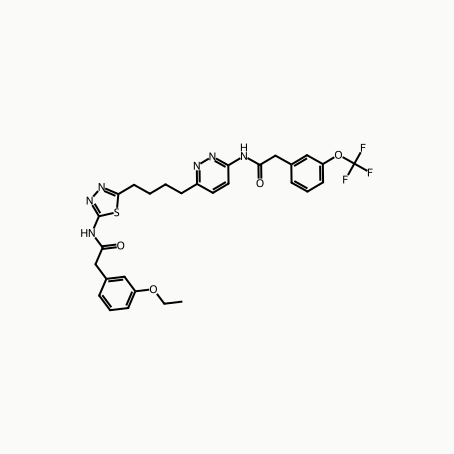 CCOc1cccc(CC(=O)Nc2nnc(CCCCc3ccc(NC(=O)Cc4cccc(OC(F)(F)F)c4)nn3)s2)c1